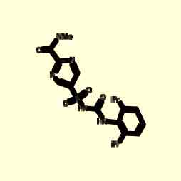 CNC(=O)c1ncc(S(=O)(=O)NC(=O)Nc2c(C(C)C)cccc2C(C)C)cn1